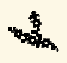 CCC(F)(F)c1ccc(CNC(=O)[C@H]2CN(C(=O)Nc3csc(C)n3)CCN2S(=O)(=O)c2ccc(OC(F)(F)F)cc2)cc1